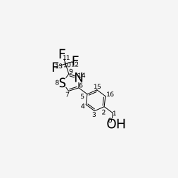 OCc1ccc(-c2csc(C(F)(F)F)n2)cc1